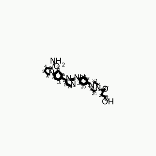 NC(=O)[C@H]1CCCN1c1ccc(-c2ccnc(Nc3ccc(N4CCN(C(=O)CCO)CC4)cc3)n2)cc1